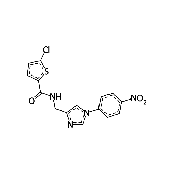 O=C(NCc1cn(-c2ccc([N+](=O)[O-])cc2)cn1)c1ccc(Cl)s1